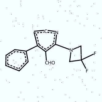 O=Cc1c(-c2ccccc2)ccnc1N1CC(F)(F)C1